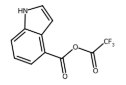 O=C(OC(=O)C(F)(F)F)c1cccc2[nH]ccc12